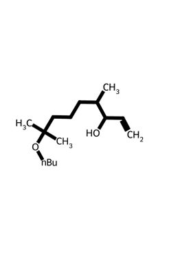 C=CC(O)C(C)CCCC(C)(C)OCCCC